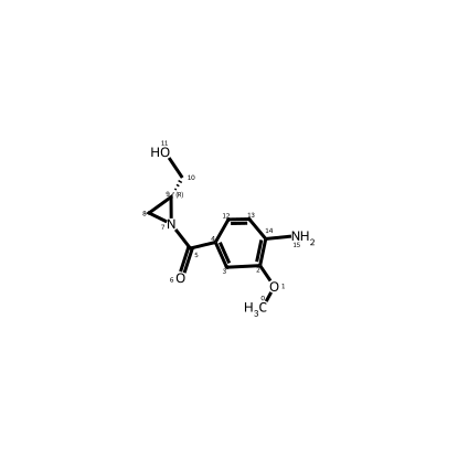 COc1cc(C(=O)N2C[C@@H]2CO)ccc1N